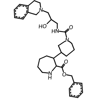 O=C(OCc1ccccc1)C1NCCCCC1C1CCCN(C(=O)NCC(O)CN2CCc3ccccc3C2)C1